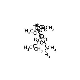 COC(=O)O[C@](Cc1ccc(OC(=O)CCC(C)C)c(OC(=O)CCC(C)C)c1)(NC(C)C)C(=O)O